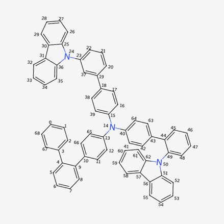 c1ccc(-c2ccccc2-c2ccc(N(c3ccc(-c4cccc(-n5c6ccccc6c6ccccc65)c4)cc3)c3ccc(-c4ccccc4-n4c5ccccc5c5ccccc54)cc3)cc2)cc1